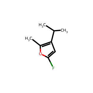 Cc1oc(F)cc1C(C)C